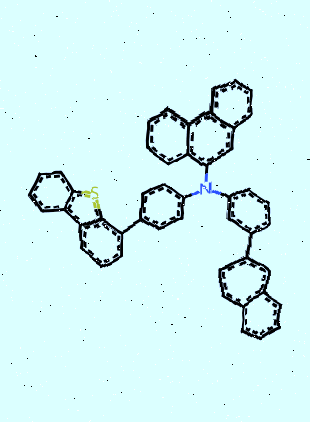 c1cc(-c2ccc3ccccc3c2)cc(N(c2ccc(-c3cccc4c3sc3ccccc34)cc2)c2cc3ccccc3c3ccccc23)c1